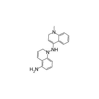 CN1CC=C(NN2CC=Cc3c(N)cccc32)c2ccccc21